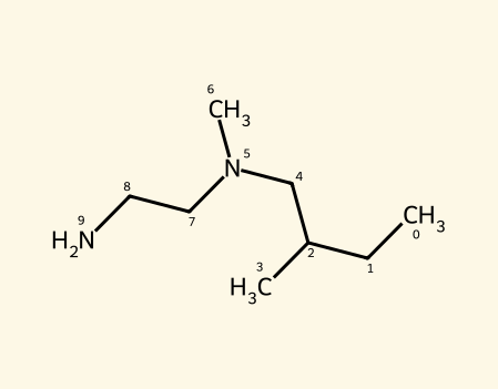 CCC(C)CN(C)CCN